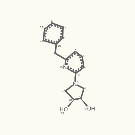 O[C@@H]1CN(c2cccc(Cc3ccccc3)n2)C[C@@H]1O